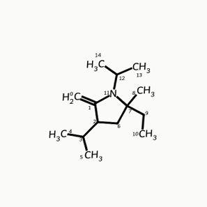 C=C1C(C(C)C)CC(C)(CC)N1C(C)C